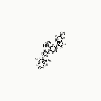 CC(=O)NC1[C@@H]2COC[C@H]1CN(c1nnc(-c3cnc(-c4ccc5cc(C#N)cnn45)cc3NC(C)C)s1)C2